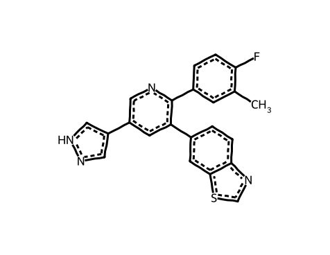 Cc1cc(-c2ncc(-c3cn[nH]c3)cc2-c2ccc3ncsc3c2)ccc1F